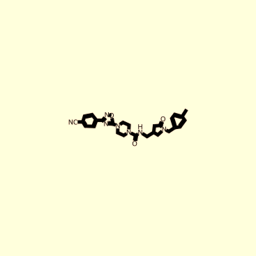 Cc1ccc(CN2CC(CNC(=O)N3CCN(c4nc(-c5ccc(C#N)cc5)no4)CC3)CC2=O)cc1